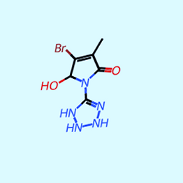 CC1=C(Br)C(O)N(C2=NNNN2)C1=O